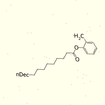 [CH2]c1ccccc1OC(=O)CCCCCCCCCCCCCCCCCC